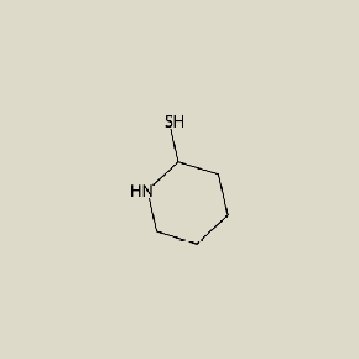 SC1CCCCN1